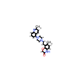 Cc1ccc2c(N3CCN(CCc4c(C)ccc5c4OCC(=O)N5)CC3)cccc2n1